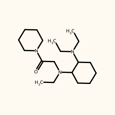 CCN(CC)C1CCCCC1N(CC)CC(=O)N1CCCCC1